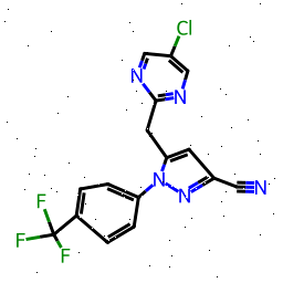 N#Cc1cc(Cc2ncc(Cl)cn2)n(-c2ccc(C(F)(F)F)cc2)n1